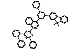 CC1(C)c2ccccc2-c2ccc(-c3cc(-c4ccccc4)cc(-c4ccc(-c5cc(-c6ccccc6-c6ccccc6)nc(-c6ccccc6)n5)c5ccccc45)c3)cc21